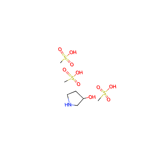 CS(=O)(=O)O.CS(=O)(=O)O.CS(=O)(=O)O.OC1CCNC1